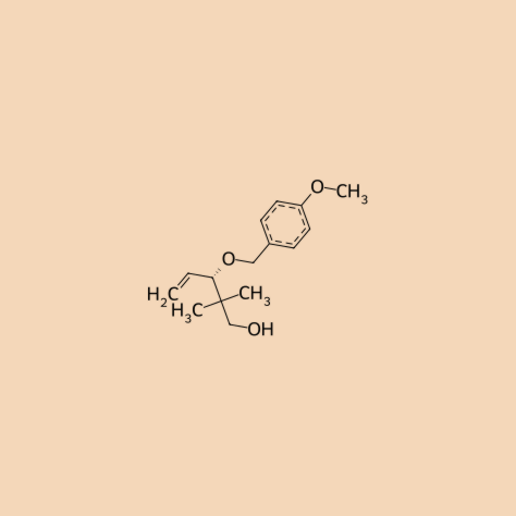 C=C[C@H](OCc1ccc(OC)cc1)C(C)(C)CO